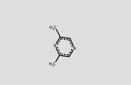 [CH2]c1cncc(C)n1